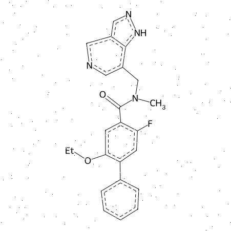 CCOc1cc(C(=O)N(C)Cc2cncc3cn[nH]c23)c(F)cc1-c1ccccc1